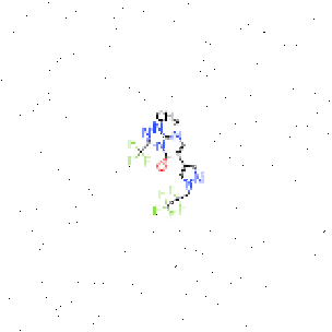 Cn1nc(C(F)(F)F)n2c(=O)c(-c3cnn(CC(F)(F)C(F)(F)F)c3)cnc12